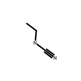 CC[N]C#N